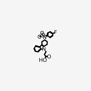 O=C(O)CCn1c2c(c3ccccc31)C[C@H](N(c1ccc(F)cc1)[SH](=O)=O)CC2